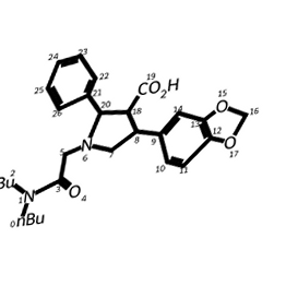 CCCCN(CCCC)C(=O)CN1CC(c2ccc3c(c2)OCO3)C(C(=O)O)C1c1ccccc1